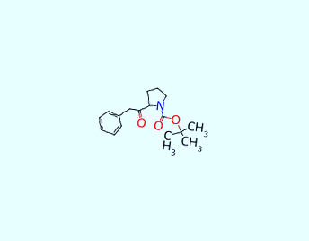 CC(C)(C)OC(=O)N1CCCC1C(=O)Cc1ccccc1